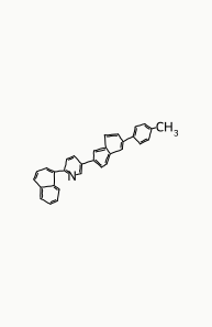 Cc1ccc(-c2ccc3cc(-c4ccc(-c5cccc6ccccc56)nc4)ccc3c2)cc1